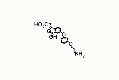 NCCCOc1cccc(Oc2ccc3c(c2)B(O)O[C@H]3CC(=O)O)c1